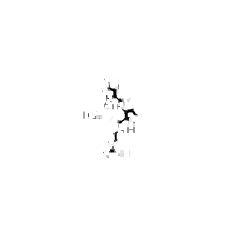 Cc1c(N)nn(C)c1C(=O)Nc1cc[nH]c1C(=O)NCCNC(=N)N.Cl.Cl